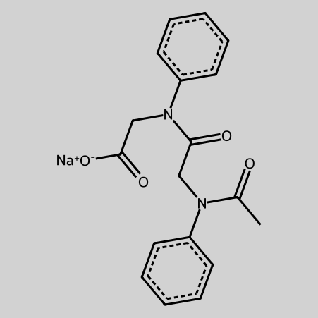 CC(=O)N(CC(=O)N(CC(=O)[O-])c1ccccc1)c1ccccc1.[Na+]